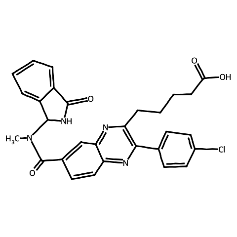 CN(C(=O)c1ccc2nc(-c3ccc(Cl)cc3)c(CCCCC(=O)O)nc2c1)C1NC(=O)c2ccccc21